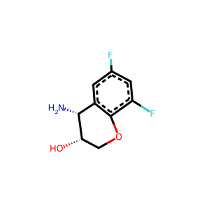 N[C@@H]1c2cc(F)cc(F)c2OC[C@@H]1O